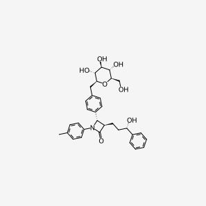 Cc1ccc(N2C(=O)[C@H](CC[C@H](O)c3ccccc3)[C@H]2c2ccc(C[C@@H]3O[C@H](CO)[C@@H](O)[C@H](O)[C@H]3O)cc2)cc1